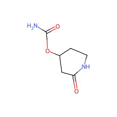 NC(=O)OC1CCNC(=O)C1